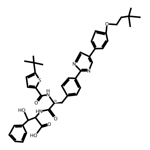 CC(C)(C)CCOc1ccc(-c2cnc(-c3ccc(C[C@H](NC(=O)c4ccc(C(C)(C)C)s4)C(=O)NC(C(=O)O)C(O)c4ccccc4)cc3)nc2)cc1